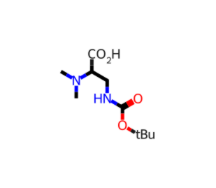 CN(C)C(CNC(=O)OC(C)(C)C)C(=O)O